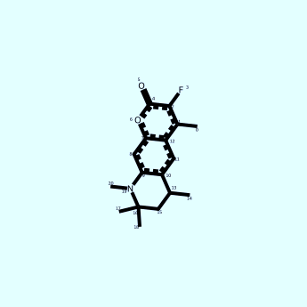 Cc1c(F)c(=O)oc2cc3c(cc12)C(C)CC(C)(C)N3C